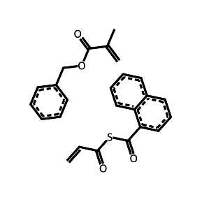 C=C(C)C(=O)OCc1ccccc1.C=CC(=O)SC(=O)c1cccc2ccccc12